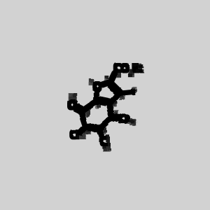 CCOC(=O)c1oc2c(c1C)C(=O)C(Cl)=C(Cl)C2=O